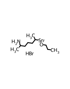 Br.CCC[O][Sn][CH](C)CCCC(C)N